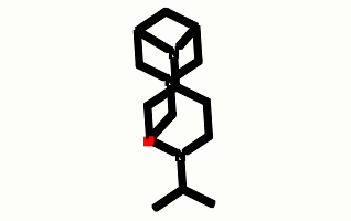 CC(C)N1CCC(N2C3CC2CN(CI)C3)CC1